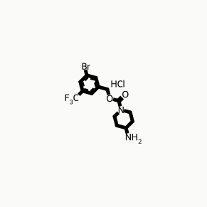 Cl.NC1CCN(C(=O)OCc2cc(Br)cc(C(F)(F)F)c2)CC1